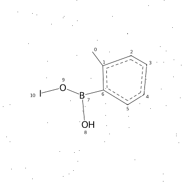 Cc1ccccc1B(O)OI